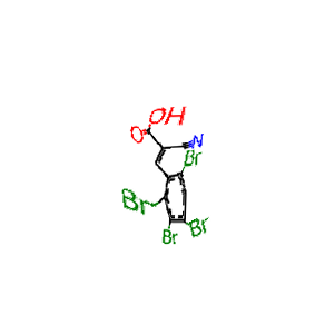 N#CC(=Cc1c(Br)cc(Br)c(Br)c1Br)C(=O)O